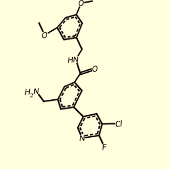 COc1cc(CNC(=O)c2cc(CN)cc(-c3cnc(F)c(Cl)c3)c2)cc(OC)c1